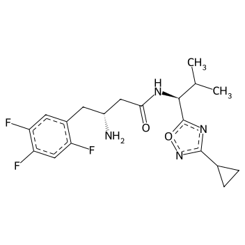 CC(C)[C@H](NC(=O)C[C@H](N)Cc1cc(F)c(F)cc1F)c1nc(C2CC2)no1